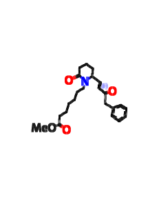 COC(=O)CCCCCCN1C(=O)CCCC1/C=C/C(=O)Cc1ccccc1